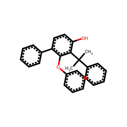 CC(C)(c1ccccc1)c1c(O)ccc(-c2ccccc2)c1Oc1ccccc1